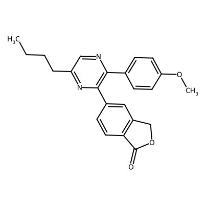 CCCCc1cnc(-c2ccc(OC)cc2)c(-c2ccc3c(c2)COC3=O)n1